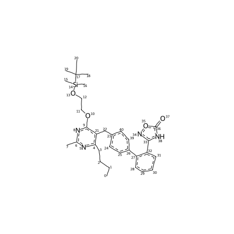 CCCCc1nc(C)nc(OCCO[Si](C)(C)C(C)(C)C)c1Cc1ccc(-c2ccccc2-c2noc(=O)[nH]2)cc1